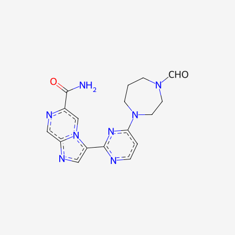 NC(=O)c1cn2c(-c3nccc(N4CCCN(C=O)CC4)n3)cnc2cn1